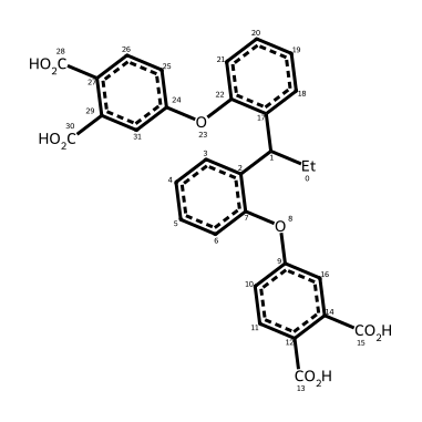 CCC(c1ccccc1Oc1ccc(C(=O)O)c(C(=O)O)c1)c1ccccc1Oc1ccc(C(=O)O)c(C(=O)O)c1